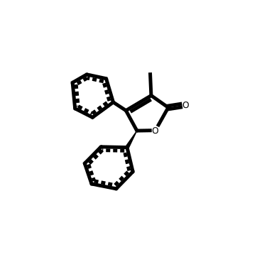 CC1=C(c2ccccc2)[C@H](c2ccccc2)OC1=O